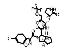 O=C(N[C@@H](C[C@@H]1CCNC1=O)C(=O)COC(F)(F)F)C1[C@H]2CCC[C@H]2CN1C(=O)c1noc2cc(Cl)ccc12